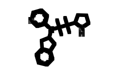 CC(C)(C1CCCN1)C(C)(C)N(c1cccnc1)C1Cc2ccccc2C1